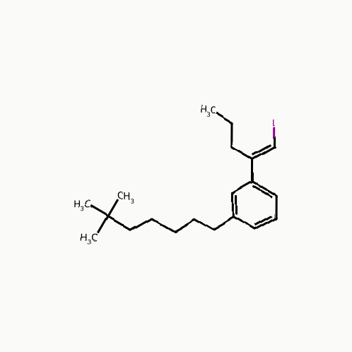 CCC/C(=C\I)c1cccc(CCCCCC(C)(C)C)c1